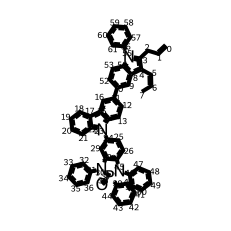 C=CCc1c(/C=C\C)c2cc(-c3ccc4c(c3)c3ccccc3n4-c3ccc4c(c3)N(c3ccccc3)P(=O)(c3ccccc3)N4c3ccccc3)ccc2n1-c1ccccc1